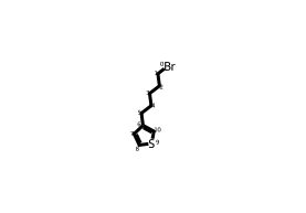 BrCCCCCc1ccsc1